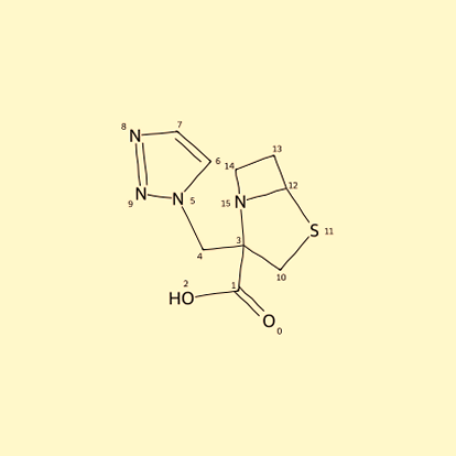 O=C(O)C1(Cn2ccnn2)CSC2CCN21